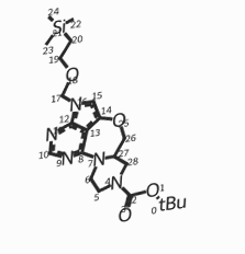 CC(C)(C)OC(=O)N1CCN2c3ncnc4c3c(cn4COCC[Si](C)(C)C)OCC2C1